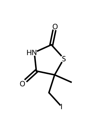 CC1(CI)SC(=O)NC1=O